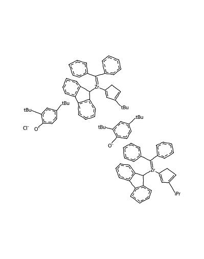 CC(C)(C)C1=CC[C]([Zr](=[C](c2ccccc2)c2ccccc2)[CH]2c3ccccc3-c3ccccc32)=C1.CC(C)(C)c1ccc([O-])c(C(C)(C)C)c1.CC(C)(C)c1ccc([O-])c(C(C)(C)C)c1.CC(C)C1=CC[C]([Zr](=[C](c2ccccc2)c2ccccc2)[CH]2c3ccccc3-c3ccccc32)=C1.[Cl-]